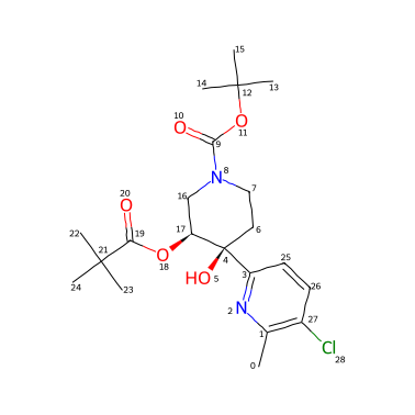 Cc1nc([C@@]2(O)CCN(C(=O)OC(C)(C)C)C[C@@H]2OC(=O)C(C)(C)C)ccc1Cl